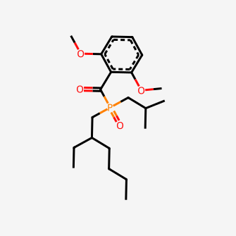 CCCCC(CC)CP(=O)(CC(C)C)C(=O)c1c(OC)cccc1OC